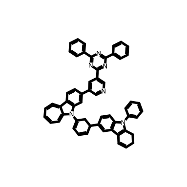 C1=CC=CC=c2c=1c1ccc(-c3cncc(-c4nc(-c5ccccc5)nc(-c5ccccc5)n4)c3)cc1n2C1=CC=CC(c2ccc3c(c2)c2c(n3-c3ccccc3)CCC=C2)C1